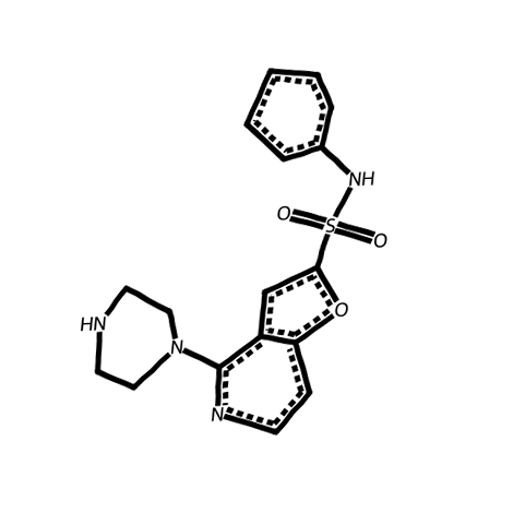 O=S(=O)(Nc1ccccc1)c1cc2c(N3CCNCC3)nccc2o1